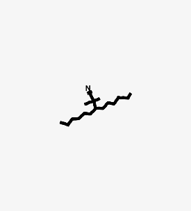 CCCCCCC(CCCCCC)C(C)(C)C#N